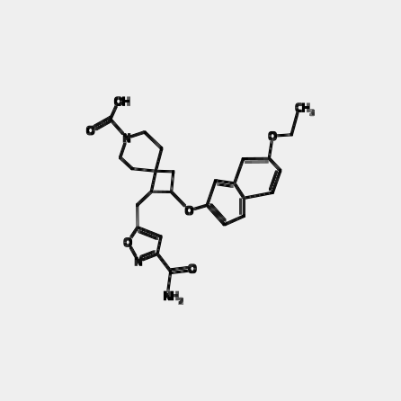 CCOc1ccc2ccc(OC3CC4(CCN(C(=O)O)CC4)C3Cc3cc(C(N)=O)no3)cc2c1